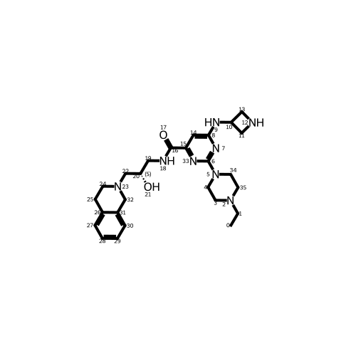 CCN1CCN(c2nc(NC3CNC3)cc(C(=O)NC[C@H](O)CN3CCc4ccccc4C3)n2)CC1